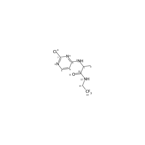 CC(Nc1ccnc(Cl)n1)C(=O)NCC(F)(F)F